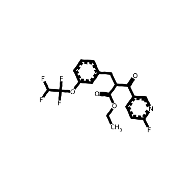 CCOC(=O)C(Cc1cccc(OC(F)(F)C(F)F)c1)C(=O)c1ccc(F)nc1